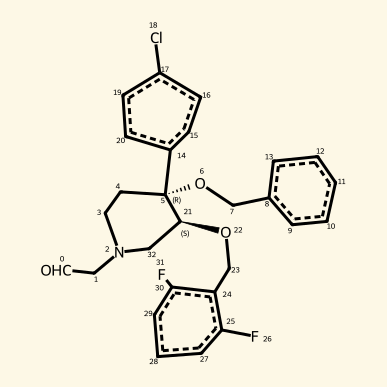 O=CCN1CC[C@@](OCc2ccccc2)(c2ccc(Cl)cc2)[C@@H](OCc2c(F)cccc2F)C1